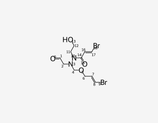 O=CCN(COC/C=C/Br)N(CCO)C(=O)/C=C/Br